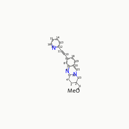 COCC1CCC2N=c3cc(C#Cc4ccccn4)ccc3=CN2C1